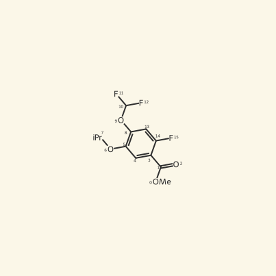 COC(=O)c1cc(OC(C)C)c(OC(F)F)cc1F